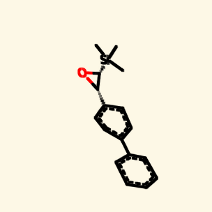 C[Si](C)(C)[C@H]1O[C@H]1c1ccc(-c2ccccc2)cc1